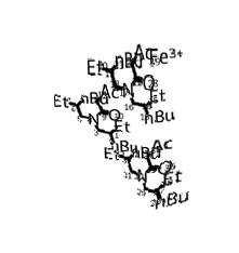 CCCCC(CC)CN(CC(CC)CCCC)C(=O)CC(C)=O.CCCCC(CC)CN(CC(CC)CCCC)C(=O)CC(C)=O.CCCCC(CC)CN(CC(CC)CCCC)C(=O)CC(C)=O.[Fe+3]